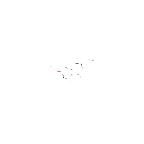 CCCc1c(O)cc(OC)cc1CC(=O)OC